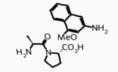 COc1cc(N)cc2ccccc12.C[C@H](N)C(=O)N1CCC[C@H]1C(=O)O